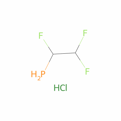 Cl.FC(F)C(F)P